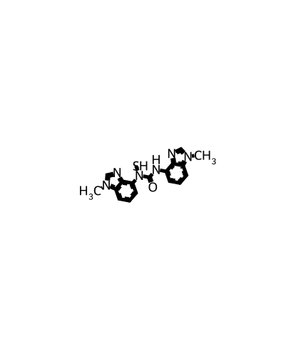 Cn1cnc2c(NC(=O)N(S)c3cccc4c3ncn4C)cccc21